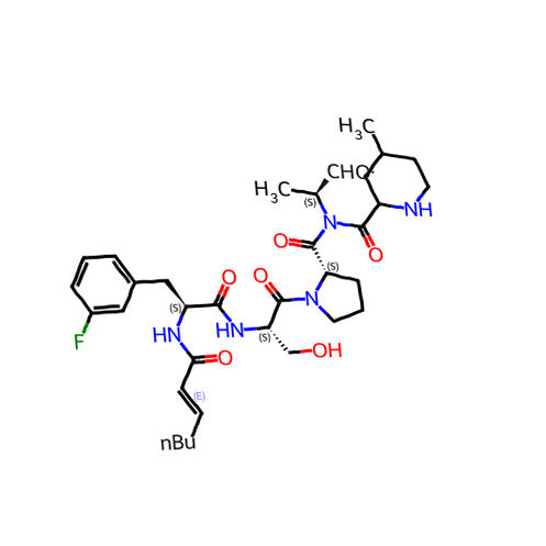 CCCC/C=C/C(=O)N[C@@H](Cc1cccc(F)c1)C(=O)N[C@@H](CO)C(=O)N1CCC[C@H]1C(=O)N(C(=O)C1CC(C)CCN1)[C@@H](C)[C]=O